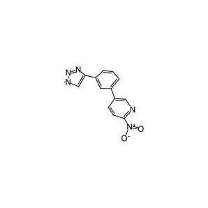 O=[N+]([O-])c1ccc(-c2cccc(C3=C[N]N=N3)c2)cn1